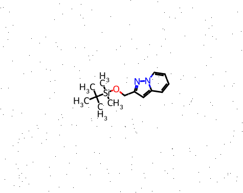 CC(C)(C)[Si](C)(C)OCc1cc2ccccn2n1